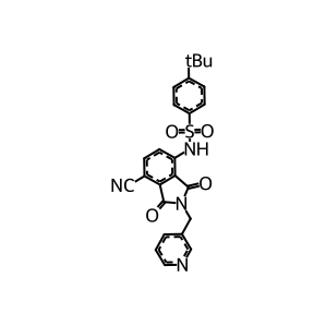 CC(C)(C)c1ccc(S(=O)(=O)Nc2ccc(C#N)c3c2C(=O)N(Cc2cccnc2)C3=O)cc1